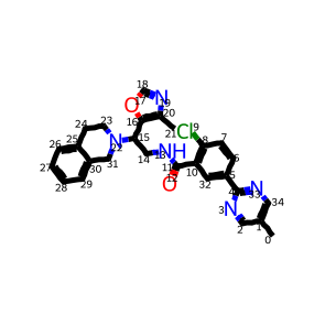 Cc1cnc(-c2ccc(Cl)c(C(=O)NCC(c3ocnc3C)N3CCc4ccccc4C3)c2)nc1